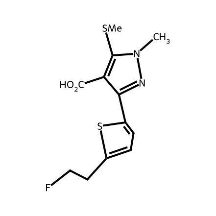 CSc1c(C(=O)O)c(-c2ccc(CCF)s2)nn1C